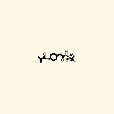 C=C(C)C(=O)OC1CCC(CC(=O)NS(=O)(=O)C(F)(F)F)CC1